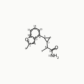 Cc1cc2c(C3CC3C(C)C(N)=O)cccc2o1